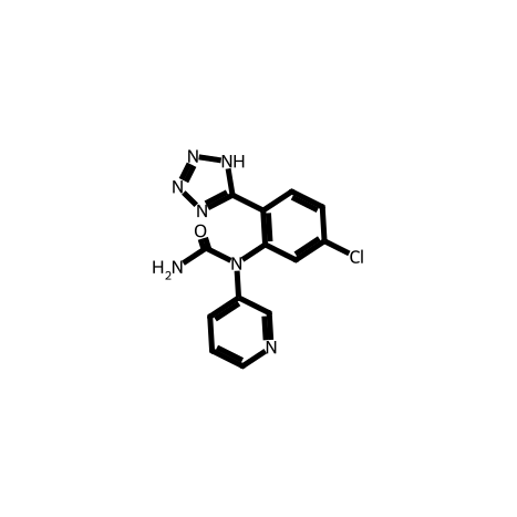 NC(=O)N(c1cccnc1)c1cc(Cl)ccc1-c1nnn[nH]1